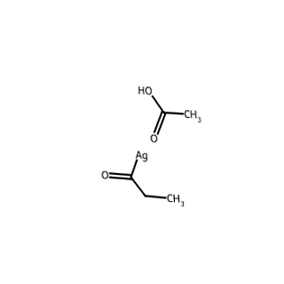 CC(=O)O.CC[C](=O)[Ag]